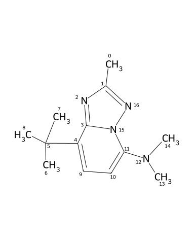 Cc1nc2c(C(C)(C)C)ccc(N(C)C)n2n1